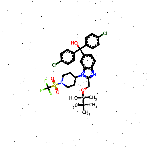 CC(C)(C)[Si](C)(C)OCc1nc2ccc(C(O)(c3ccc(Cl)cc3)c3ccc(Cl)cc3)cc2n1C1CCN(S(=O)(=O)C(F)(F)F)CC1